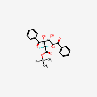 CC(C)(C)[Si](C)(C)OC(=O)C(F)(F)[C@@](O)(C(=O)c1ccccc1)[C@H](O)C(O)C(=O)c1ccccc1